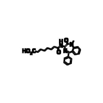 CN1C(=O)C(NC(=O)CCCCCCC(=O)O)N=C(c2ccccc2)c2ccccc21